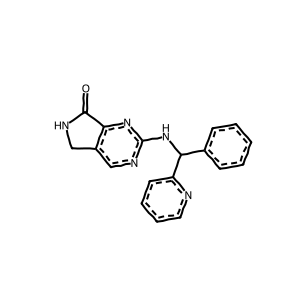 O=C1NCc2cnc(NC(c3ccccc3)c3ccccn3)nc21